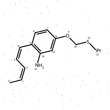 C/C=C\C=C/c1ccc(OCSC(C)C)cc1N